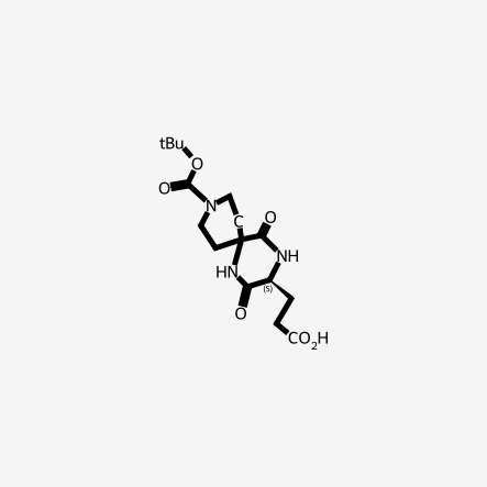 CC(C)(C)OC(=O)N1CCC2(CC1)NC(=O)[C@H](CCC(=O)O)NC2=O